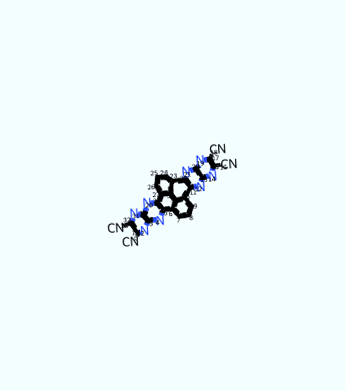 [C-]#[N+]c1nc2nc3c4cccc5c6nc7nc(C#N)c(C#N)nc7nc6c6cccc(c3nc2nc1[N+]#[C-])c6c54